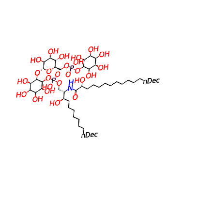 CCCCCCCCCCCCCCCCCCCCC(O)C(=O)N[C@@H](COP(=O)(O)O[C@H]1C(O)C(O)C(O)[C@@H](O)C1O[C@H]1O[C@H](COP(=O)(O)OC2C(O)C(O)C(O)[C@@H](O)C2O)[C@@H](O)C(O)C1O)[C@H](O)CCCCCCCCCCCCCCCCC